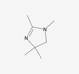 CC1=NC(C)(C)CN1C